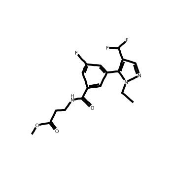 CCn1ncc(C(F)F)c1-c1cc(F)cc(C(=O)NCCC(=O)OC)c1